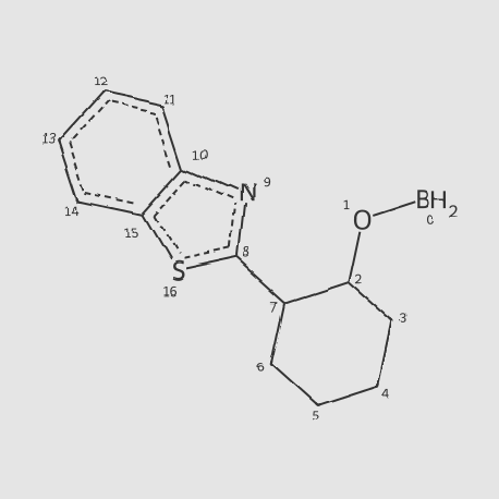 BOC1CCCCC1c1nc2ccccc2s1